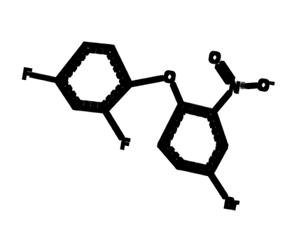 O=[N+]([O-])c1cc(Br)ccc1Oc1ccc(F)cc1F